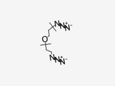 CC(C)(CCOC(C)(C)CCN=[N+]=[N-])N=[N+]=[N-]